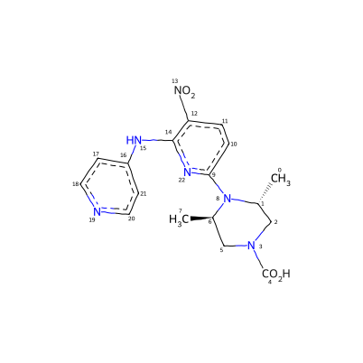 C[C@@H]1CN(C(=O)O)C[C@@H](C)N1c1ccc([N+](=O)[O-])c(Nc2ccncc2)n1